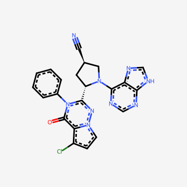 N#C[C@@H]1C[C@@H](c2nn3ccc(Cl)c3c(=O)n2-c2ccccc2)N(c2ncnc3[nH]cnc23)C1